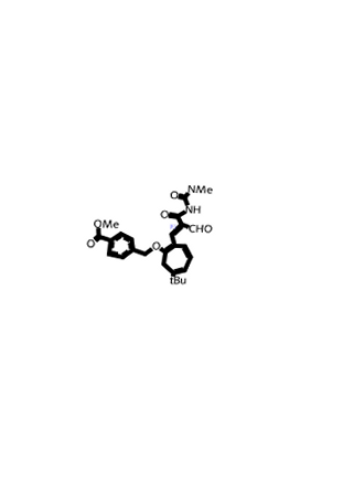 CNC(=O)NC(=O)/C(C=O)=C/C1=C(OCc2ccc(C(=O)OC)cc2)CC(C(C)(C)C)=CC=C1